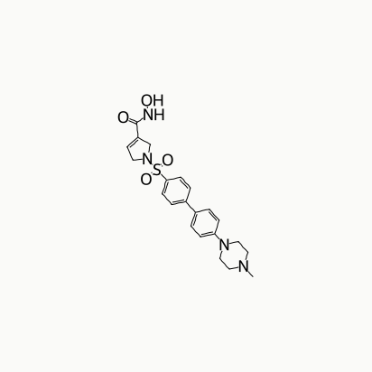 CN1CCN(c2ccc(-c3ccc(S(=O)(=O)N4CC=C(C(=O)NO)C4)cc3)cc2)CC1